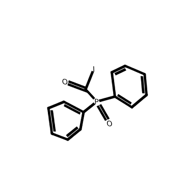 O=C(I)P(=O)(c1ccccc1)c1ccccc1